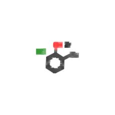 CCC(C)c1ccccc1O.Cl.[Zr]